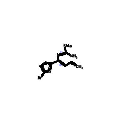 C=C/C=C(\N=C(/N)SC)c1ccc(Br)s1